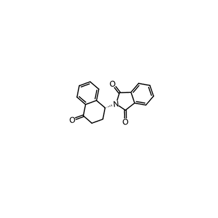 O=C1CC[C@@H](N2C(=O)c3ccccc3C2=O)c2ccccc21